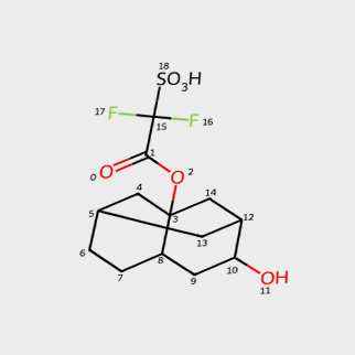 O=C(OC12CC3CCC1CC(O)C(C3)C2)C(F)(F)S(=O)(=O)O